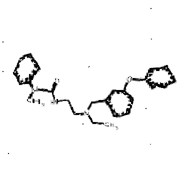 CCN(CCNC(=O)N(C)c1ccccc1)Cc1cccc(Oc2ccccc2)c1